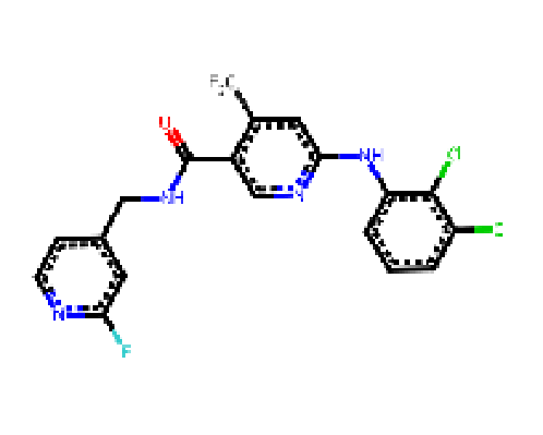 O=C(NCc1ccnc(F)c1)c1cnc(Nc2cccc(Cl)c2Cl)cc1C(F)(F)F